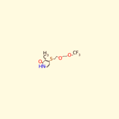 Cc1c(SCCOCCOCC(F)(F)F)cc[nH]c1=O